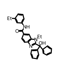 CCc1cccc(NC(=O)c2ccc3nc(C(O)(c4ccccc4)c4ccccc4)n(CC)c3c2)c1